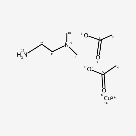 CC(=O)[O-].CC(=O)[O-].CN(C)CCN.[Cu+2]